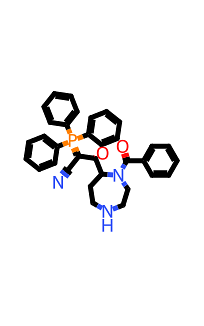 N#CC(C(=O)C1CCNCCN1C(=O)c1ccccc1)=P(c1ccccc1)(c1ccccc1)c1ccccc1